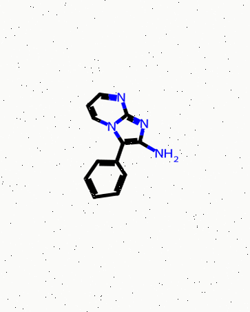 Nc1nc2ncccn2c1-c1ccccc1